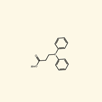 COC(=O)CCP(c1ccccc1)c1ccccc1